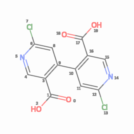 O=C(O)c1cnc(Cl)cc1-c1cc(Cl)ncc1C(=O)O